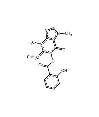 Cn1cnc2c1c(=O)n(OC(=O)c1ccccc1O)c(=O)n2C.[CaH2]